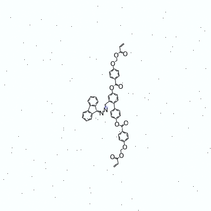 C=CC(=O)OCOc1ccc(C(=O)Oc2ccc(-c3ccc(OC(=O)c4ccc(OCOC(=O)C=C)cc4)cc3/C=N/N=C3c4ccccc4-c4ccccc43)cc2)cc1